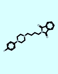 O=C1c2ccccc2C(=O)N1CCCCN1CCN(c2ccc(F)cc2)CC1